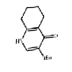 CC(C)(C)c1c[nH]c2c(c1=O)CCCC2